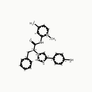 Cc1cc[n+](C)c(NC(=O)[C@H](Cc2ccccc2)n2cc(-c3ccc(S)cc3)nn2)c1